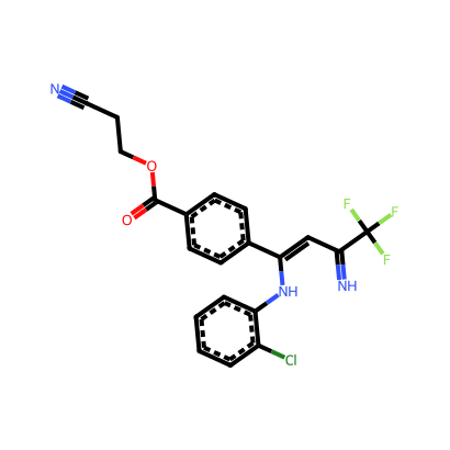 N#CCCOC(=O)c1ccc(/C(=C/C(=N)C(F)(F)F)Nc2ccccc2Cl)cc1